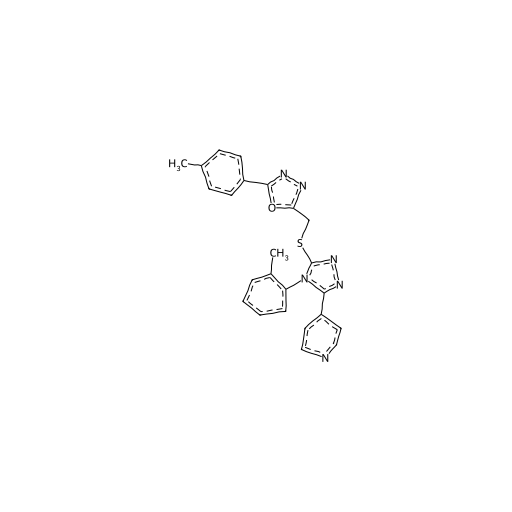 Cc1ccc(-c2nnc(CSc3nnc(-c4ccncc4)n3-c3ccccc3C)o2)cc1